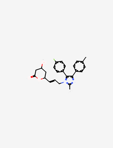 Cc1ccc(-c2nc(C(C)C)n(CC=CC3CC(O)CC(=O)O3)c2-c2ccc(F)cc2)cc1